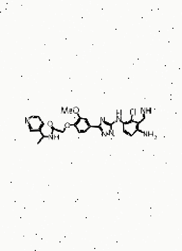 COc1cc(-c2nc(Nc3ccc(N)c(C=N)c3Cl)n(C)n2)ccc1OCC(=O)NC(C)c1cccnc1